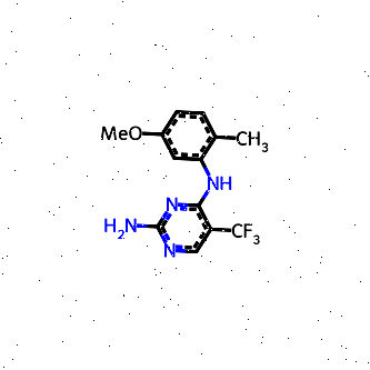 COc1ccc(C)c(Nc2nc(N)ncc2C(F)(F)F)c1